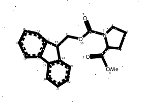 COC(=O)C1CCCN1C(=O)OCC1c2ccccc2-c2ccccc21